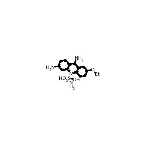 CCOc1ccc2nc3cc(N)ccc3c(N)c2c1.N.O=S(=O)(O)O